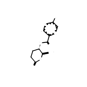 CC(C)c1cnc(C(=O)N[C@@H]2CCC(=O)NC2=O)cn1